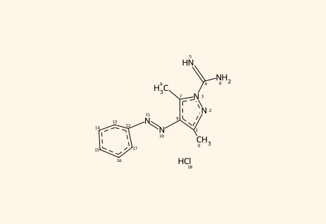 Cc1nn(C(=N)N)c(C)c1N=Nc1ccccc1.Cl